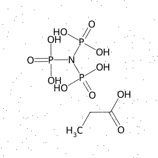 CCC(=O)O.O=P(O)(O)N(P(=O)(O)O)P(=O)(O)O